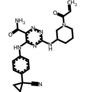 C=CC(=O)N1CCCC(Nc2nnc(C(N)=O)c(Nc3ccc(C4(C#N)CC4)cc3)n2)C1